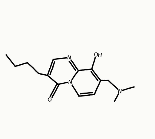 CCCCc1cnc2c(O)c(CN(C)C)ccn2c1=O